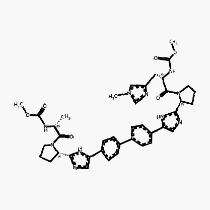 COC(=O)N[C@@H](Cc1cn(C)cn1)C(=O)N1CCC[C@H]1c1ncc(-c2ccc(-c3ccc(-c4cnc([C@@H]5CCCN5C(=O)[C@@H](C)NC(=O)OC)[nH]4)cc3)cc2)[nH]1